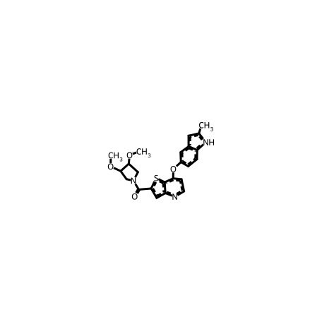 COC1CN(C(=O)c2cc3nccc(Oc4ccc5[nH]c(C)cc5c4)c3s2)CC1OC